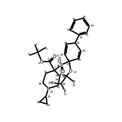 CC(C)(C)OC(=O)C1(S(=O)(=O)C2(OC(F)(F)C(F)F)C=CC(c3ccccc3)C=C2)CCN(C2CC2)CC1